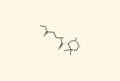 COC(=O)CCNC(=O)[C@@H]1OPOCC1(C)C